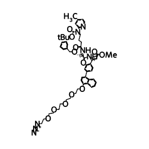 COC(=O)C[C@H](NC(=O)[C@H](COCc1ccccc1)NC(=O)CCCN(C(=O)OC(C)(C)C)c1cc(C)ccn1)c1ccc(-c2ccc(OCCOCCOCCOCCOCCN=[N+]=[N-])c3ccccc23)cc1